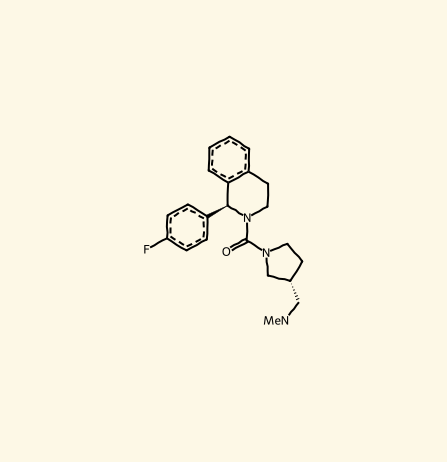 CNC[C@H]1CCN(C(=O)N2CCc3ccccc3[C@@H]2c2ccc(F)cc2)C1